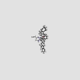 C=CC/C=C1\C(=C/C)N(c2ccc3c(c2)C(C)(C)c2ccccc2-3)P(=O)(c2ccccc2)N1c1ccc2c(c1)C(C)(C)c1ccccc1-2